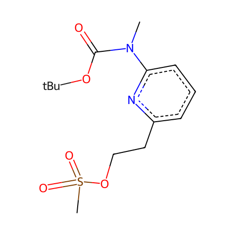 CN(C(=O)OC(C)(C)C)c1cccc(CCOS(C)(=O)=O)n1